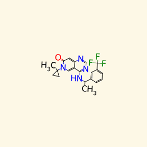 CC(Nc1ncnc2cc(=O)n(C3(C)CC3)cc12)c1cccc(C(F)(F)F)c1